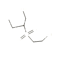 C[C@@H](CO)S(=O)(=O)C(CO)CO